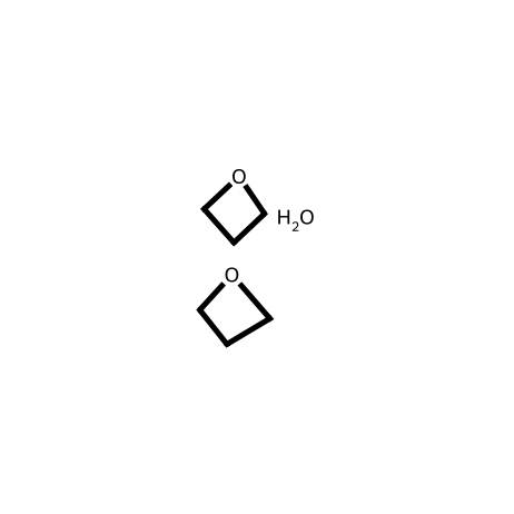 C1COC1.C1COC1.O